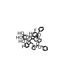 C[C@@H]1O[C@H](N2c3cc(F)ccc3C(C[C@@H]3CCCN3C(=O)OCc3ccccc3)C2c2[nH]c3cc(F)ccc3c2CC2CCCN2C(=O)OCc2ccccc2)[C@@H](O)[C@H](O)[C@@H]1O